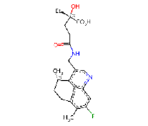 CC[C@](O)(CCC(=O)NCc1cnc2cc(F)c(C)c3c2c1[C@@H](C)CC3)C(=O)O